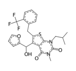 CC(C)Cn1c(=O)n(C)c(=O)c2c(C(O)c3ccco3)c(Cc3ccccc3C(F)(F)F)sc21